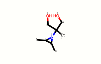 CCC(CO)(CO)N1C(C)C1C